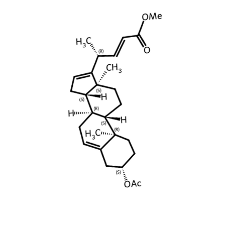 COC(=O)C=C[C@@H](C)C1=CC[C@H]2[C@@H]3CC=C4C[C@@H](OC(C)=O)CC[C@]4(C)[C@H]3CC[C@]12C